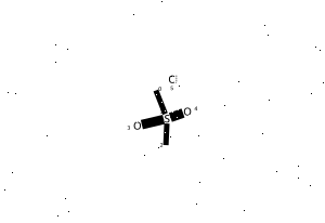 CS(C)(=O)=O.[C]